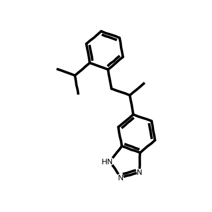 CC(C)c1ccccc1CC(C)c1ccc2nn[nH]c2c1